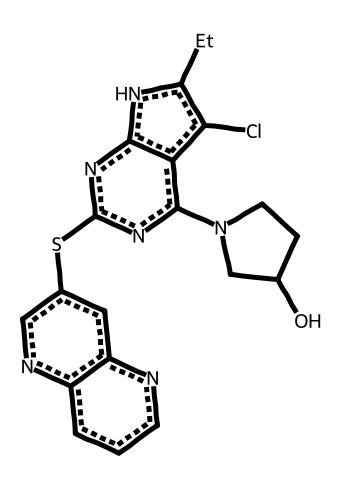 CCc1[nH]c2nc(Sc3cnc4cccnc4c3)nc(N3CCC(O)C3)c2c1Cl